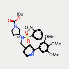 COc1cc(-c2cc(CN([C@H]3CCN(C(=O)OC(C)(C)C)C3)S(=O)(=O)c3ccccc3[N+](=O)[O-])ccn2)cc(OC)c1OC